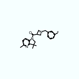 Cc1ccc2c(n1)C(C)(C)CN2C(=O)C1CN(Cc2cccc(F)c2)C1